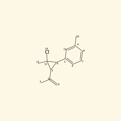 C=C(C)C1C(c2cccc(C)c2)C1(C)Cl